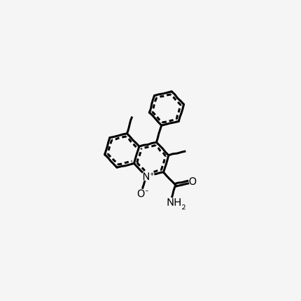 Cc1c(-c2ccccc2)c2c(C)cccc2[n+]([O-])c1C(N)=O